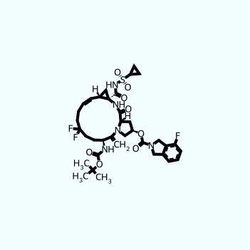 C=C1[C@@H](NC(=O)OC(C)(C)C)CCC(F)(F)CC/C=C\[C@@H]2C[C@@]2(C(=O)NS(=O)(=O)C2CC2)NC(=O)[C@@H]2C[C@@H](OC(=O)N3Cc4cccc(F)c4C3)CN12